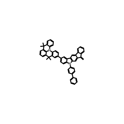 C=C1c2ccccc2-c2cc3c4cc(-c5ccc6c(c5)C(C)(C)c5cccc7c5N6c5ccccc5C7(C)C)ccc4n(-c4ccc(-c5ccccc5)cc4)c3cc21